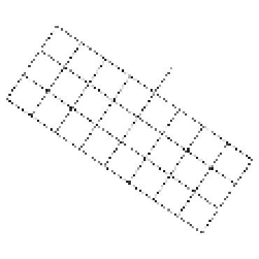 CC12C3C4C5CC6C7CC8C9C%10C%11C%12C%13C%14CC%15C%16CC%17C%18C1C1%19C%18%20C%16%17C%15%14C%13%20C%121C%111C%10%11C9%10C78C65C4%10C3%11C2%191